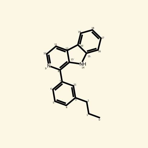 CCCc1cccc(-c2nccc3c2[nH]c2ccccc23)c1